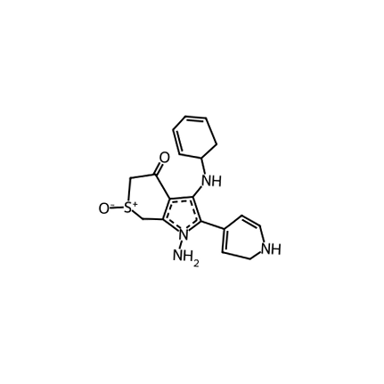 Nn1c2c(c(NC3C=CC=CC3)c1C1=CCNC=C1)C(=O)C[S+]([O-])C2